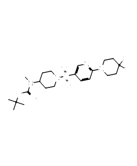 CN(C(=O)OC(C)(C)C)C1CCN(S(=O)(=O)c2ccc(N3CCC(F)(F)CC3)nc2)CC1